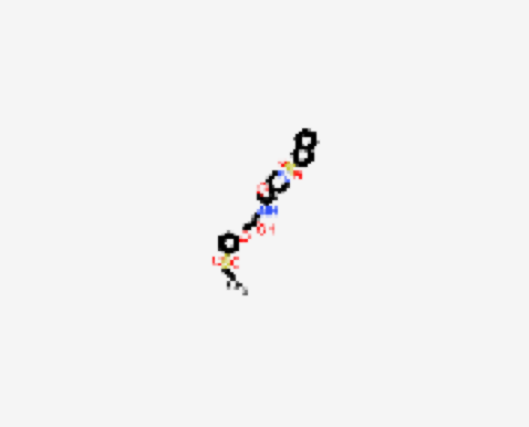 O=S(=O)(CCC(F)(F)F)c1cccc(OCC(O)CNC2COC3(CCN(S(=O)(=O)c4ccc5ccccc5c4)CC3)C2)c1